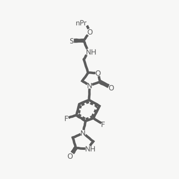 CCCOC(=S)NCC1CN(c2cc(F)c(N3CNC(=O)C3)c(F)c2)C(=O)O1